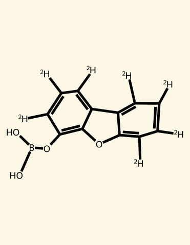 [2H]c1c([2H])c([2H])c2c(oc3c(OB(O)O)c([2H])c([2H])c([2H])c32)c1[2H]